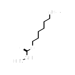 CCCCCCCCCCCCOC(=O)NN